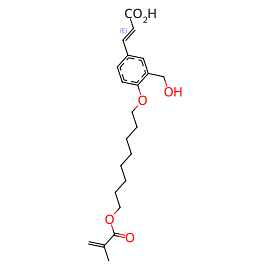 C=C(C)C(=O)OCCCCCCCCOc1ccc(/C=C/C(=O)O)cc1CO